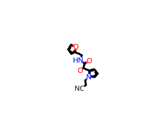 N#CCCn1cccc1C(=O)C(=O)NCc1ccco1